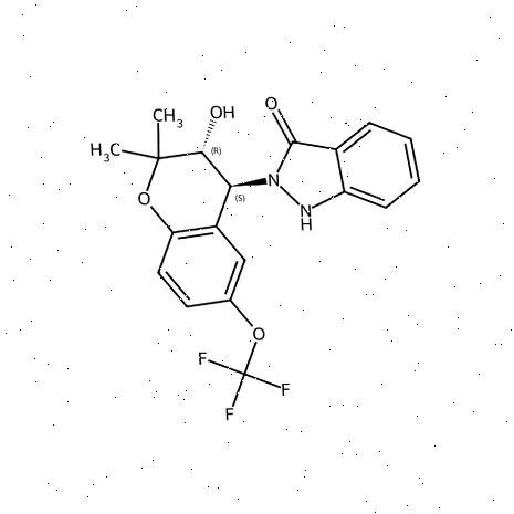 CC1(C)Oc2ccc(OC(F)(F)F)cc2[C@H](n2[nH]c3ccccc3c2=O)[C@H]1O